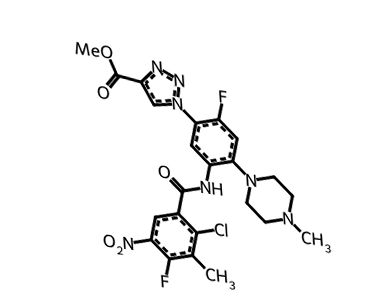 COC(=O)c1cn(-c2cc(NC(=O)c3cc([N+](=O)[O-])c(F)c(C)c3Cl)c(N3CCN(C)CC3)cc2F)nn1